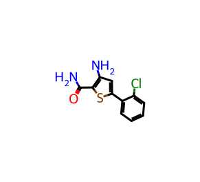 NC(=O)c1sc(-c2ccccc2Cl)cc1N